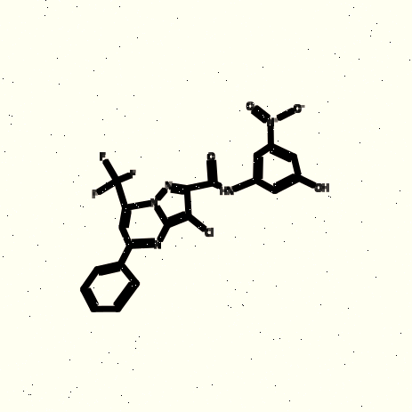 O=C(Nc1cc(O)cc([N+](=O)[O-])c1)c1nn2c(C(F)(F)F)cc(-c3ccccc3)nc2c1Cl